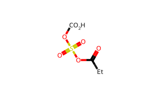 CCC(=O)OS(=O)(=O)OC(=O)O